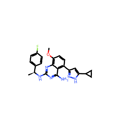 COc1ccc(-c2cc(C3CC3)[nH]n2)c2c(N)nc(N[C@@H](C)c3ccc(F)cc3)nc12